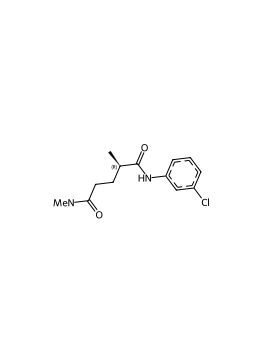 CNC(=O)CC[C@@H](C)C(=O)Nc1cccc(Cl)c1